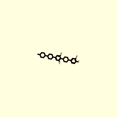 CC1CCC(C2CCC(c3cc(F)c(C4CCC(c5ccc(F)c(F)c5)CC4)c(F)c3)CC2)CC1